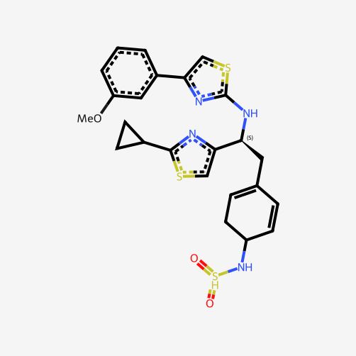 COc1cccc(-c2csc(N[C@@H](CC3=CCC(N[SH](=O)=O)C=C3)c3csc(C4CC4)n3)n2)c1